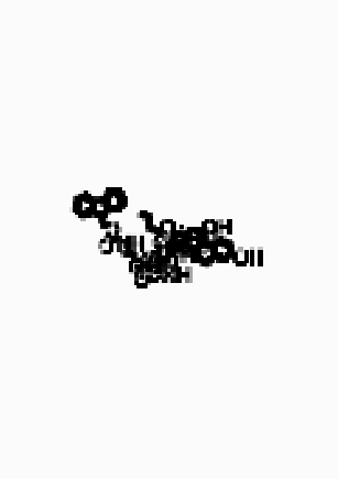 CCCC1O[C@@H]2C[C@H]3[C@@H]4CCC5=CC(O)C=C[C@]5(C)[C@H]4[C@@H](O)C[C@]3(C)[C@]2(C(=O)COP(=O)(O)OP(=O)(O)OCCNC(=O)OCC2c3ccccc3-c3ccccc32)O1